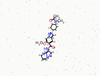 COc1cc2nn([C@H]3CC[C@@H](N(C)C(C)=O)CC3)cc2cc1C(=O)Nc1cnn2cccnc12